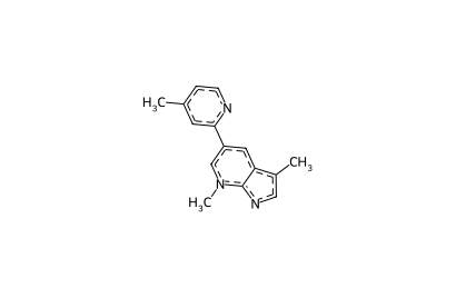 Cc1ccnc(-c2cc3c(C)cnc-3n(C)c2)c1